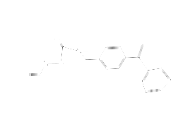 O=CNOC(=O)NCc1ccc(C(=O)c2ccccc2)cc1